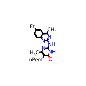 CCCCCc1c(C)nc(Nc2nc(C)c3cc(CC)ccc3n2)[nH]c1=O